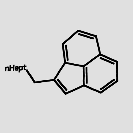 CCCCCCCCC1=Cc2cccc3cccc1c23